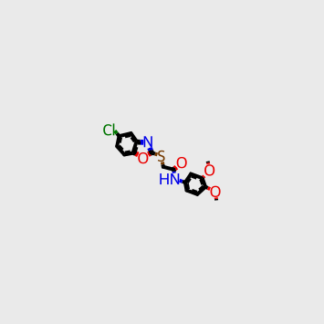 COc1ccc(NC(=O)CSc2nc3cc(Cl)ccc3o2)cc1OC